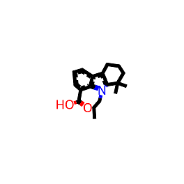 CCCn1c2c(c3cccc(C(=O)O)c31)CCCC2(C)C